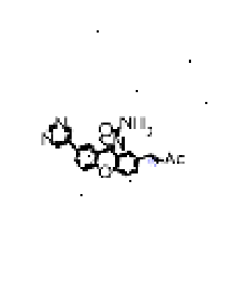 CC(=O)/C=C/c1ccc2c(c1)[C@]1(COC(N)=N1)c1cc(-c3cncnc3)ccc1O2